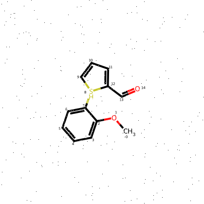 COc1ccccc1[SH]1C=CC=C1C=O